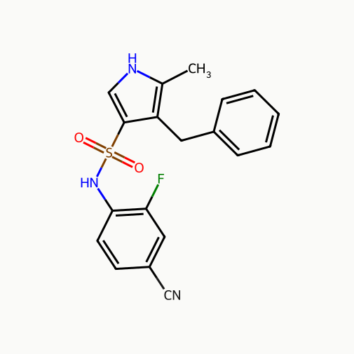 Cc1[nH]cc(S(=O)(=O)Nc2ccc(C#N)cc2F)c1Cc1ccccc1